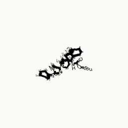 CC(C)(C)OC(=O)N[C@@H]1c2ccccc2CC12CCN(c1cnc(SC3CCCC3)cn1)CC2